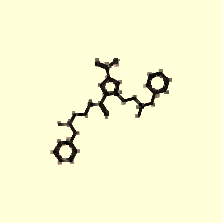 CN(CCOC(=O)c1cc([N+](=O)[O-])cn1CCN(C)Cc1ccccc1)Cc1ccccc1